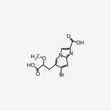 COC(Cc1cn2cc(C(=O)O)nc2cc1Br)C(=O)O